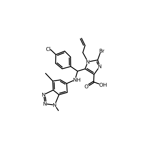 C=CCn1c(Br)nc(C(=O)O)c1C(Nc1cc(C)c2nnn(C)c2c1)c1ccc(Cl)cc1